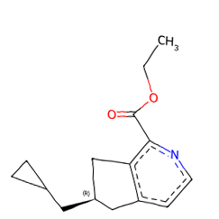 CCOC(=O)c1nccc2c1C[C@H](CC1CC1)C2